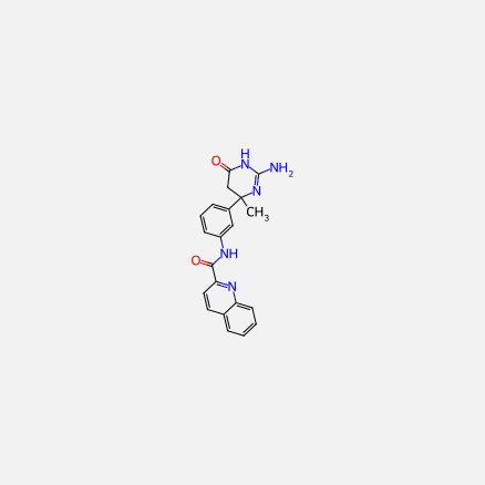 CC1(c2cccc(NC(=O)c3ccc4ccccc4n3)c2)CC(=O)NC(N)=N1